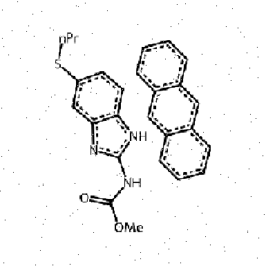 CCCSc1ccc2[nH]c(NC(=O)OC)nc2c1.c1ccc2cc3ccccc3cc2c1